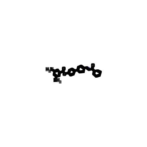 Nc1cc(N)cc(C(=O)Oc2ccc(-c3ccc(/C=C/C(=O)c4ccccc4)cc3)cc2)c1